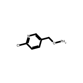 POCc1ccc(Cl)nc1